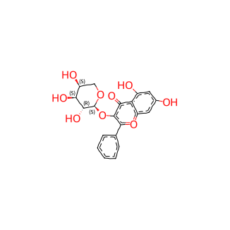 O=c1c(O[C@@H]2OC[C@H](O)[C@H](O)[C@H]2O)c(-c2ccccc2)oc2cc(O)cc(O)c12